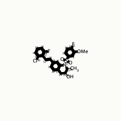 COc1cc(S(=O)(=O)N2c3cc(/C=C/c4c(F)cccc4Cl)ccc3C[C@@H](O)[C@H]2C)ccc1F